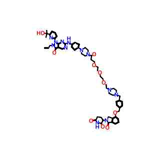 C=CCn1c(=O)c2cnc(Nc3ccc(N4CCN(C(=O)CCOCCOCCOCCN5CCN(Cc6ccc(COc7cccc8c7CN([C@H]7CCC(=O)NC7=O)C8=O)cc6)CC5)CC4)cc3)nc2n1-c1cccc(C(C)(C)O)n1